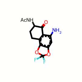 CC(=O)NC1CCc2c3c(cc(N)c2C1=O)OC(F)(F)O3